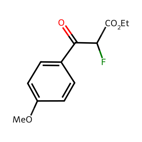 CCOC(=O)C(F)C(=O)c1ccc(OC)cc1